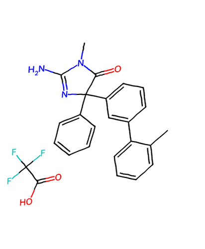 Cc1ccccc1-c1cccc(C2(c3ccccc3)N=C(N)N(C)C2=O)c1.O=C(O)C(F)(F)F